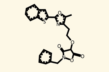 Cc1oc(-c2cc3ccccc3s2)nc1CCOC1C(=O)ON(Cc2ccccc2)C1=O